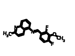 COc1c(F)ccc(C=Nc2cccc3nc(C)ccc23)c1F